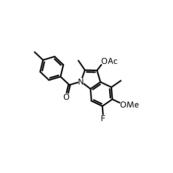 COc1c(F)cc2c(c1C)c(OC(C)=O)c(C)n2C(=O)c1ccc(C)cc1